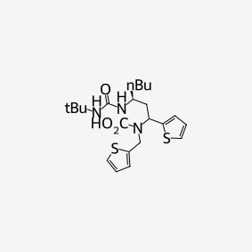 CCCC[C@@H](CC(c1cccs1)N(Cc1cccs1)C(=O)O)NC(=O)NC(C)(C)C